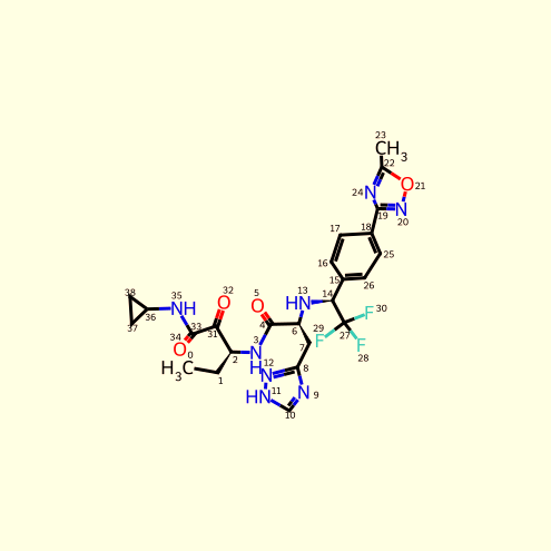 CC[C@H](NC(=O)[C@H](Cc1nc[nH]n1)N[C@@H](c1ccc(-c2noc(C)n2)cc1)C(F)(F)F)C(=O)C(=O)NC1CC1